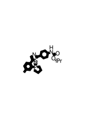 Cc1ccc(-c2cnc(C3CCC(NC(=O)OC(C)C)CC3)s2)c(P2(=O)CCCC2)c1